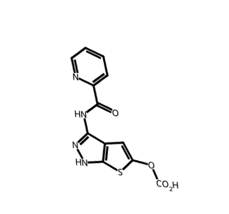 O=C(O)Oc1cc2c(NC(=O)c3ccccn3)n[nH]c2s1